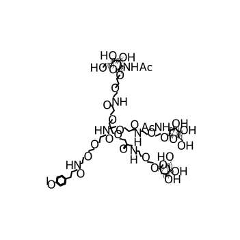 CC(=O)N[C@H]1[C@H](OCCOCCNC(=O)CCOCC(COCCC(=O)CNCCOCCO[C@H]2C[C@@H](O)[C@@H](O)[C@@H](CO)O2)(COCCC(=O)NCCOCCO[C@@H]2O[C@H](CO)[C@H](O)[C@H](O)[C@H]2NC(C)=O)NC(=O)CCOCCOCCNC(=O)CCc2ccc(OI)cc2)O[C@H](CO)[C@H](O)[C@@H]1O